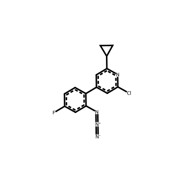 [N-]=[N+]=Nc1cc(F)ccc1-c1cc(Cl)nc(C2CC2)c1